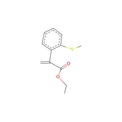 C=C(C(=O)OCC)c1ccccc1SC